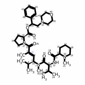 C/C(=C\[C@H](C(C)C)N(C)C(=O)[C@@H](NC(=O)C1CCCCN1C)C(C)C)C(=O)N1CCC[C@H]1C(=O)OC(CN1CCOCC1)c1ccccc1